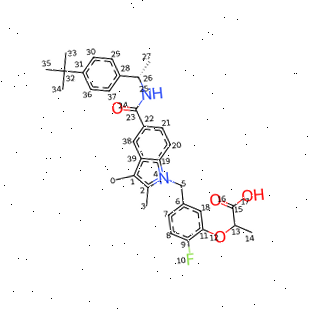 Cc1c(C)n(Cc2ccc(F)c(OC(C)C(=O)O)c2)c2ccc(C(=O)N[C@@H](C)c3ccc(C(C)(C)C)cc3)cc12